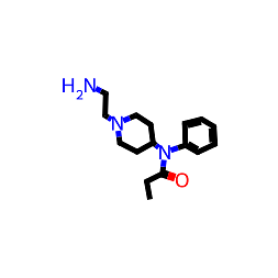 CCC(=O)N(c1ccccc1)C1CCN(CCN)CC1